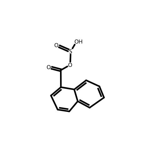 O=C(OS(=O)O)c1cccc2ccccc12